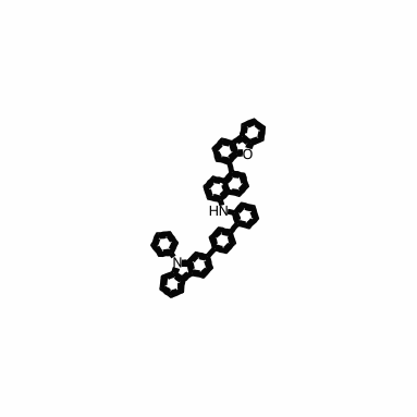 c1ccc(-n2c3ccccc3c3ccc(-c4ccc(-c5ccccc5Nc5cccc6c(-c7cccc8c7oc7ccccc78)cccc56)cc4)cc32)cc1